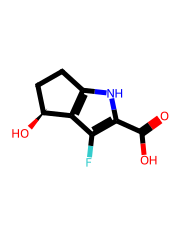 O=C(O)c1[nH]c2c(c1F)[C@@H](O)CC2